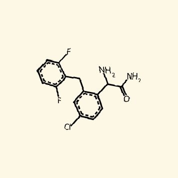 NC(=O)C(N)c1ccc(Cl)cc1Cc1c(F)cccc1F